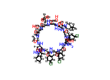 CC(C)[C@H]1C(=O)N[C@@H]([C@@H](C)O)C(=O)N[C@@H](Cc2c[nH]c3ccccc23)C(=O)N[C@@H](Cc2cccc(Cl)c2)C(=O)N(C)[C@@H](Cc2ccc(Cl)cc2)C(=O)N[C@@](N)([C@@H](C)O)C(=O)N[C@@H](Cc2cccc(Cl)c2)C(=O)N[C@H](C(=O)N2CCC(C(C)(C)C)CC2)C(=O)N[C@@H](CO)C(=O)N[C@@H](CCS(C)(=O)=O)C(=O)N(C)[C@@H](CO)C(=O)N1C